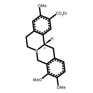 CCOC(=O)c1cc2c(cc1OC)CCN1Cc3c(ccc(OC)c3OC)C[C@@H]21